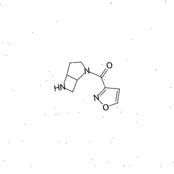 O=C(c1ccon1)N1CCC2NCC21